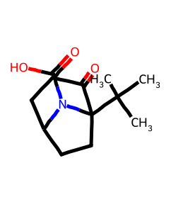 CC(C)(C)C12CCC(CCC1=O)N2C(=O)O